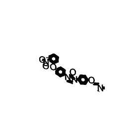 CN(C)CCOc1ccc(-n2ccn(-c3ccc(Oc4ccccc4[N+](=O)[O-])cc3)c2=O)cc1